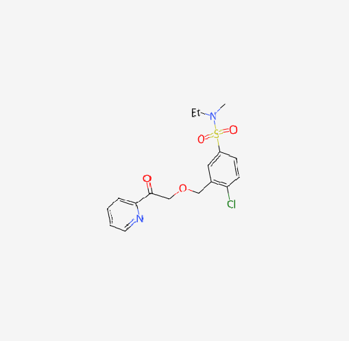 CCN(C)S(=O)(=O)c1ccc(Cl)c(COCC(=O)c2ccccn2)c1